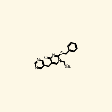 CC(C)(C)Cn1cc(Cc2cncnc2)c(=O)nc1SCc1ccccc1